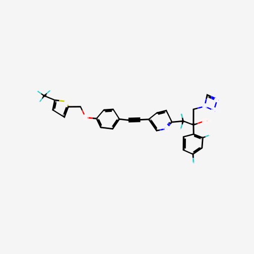 OC(Cn1cn[nH]1)(c1ccc(F)cc1F)C(F)(F)c1ccc(C#Cc2ccc(OCc3ccc(C(F)(F)F)s3)cc2)cn1